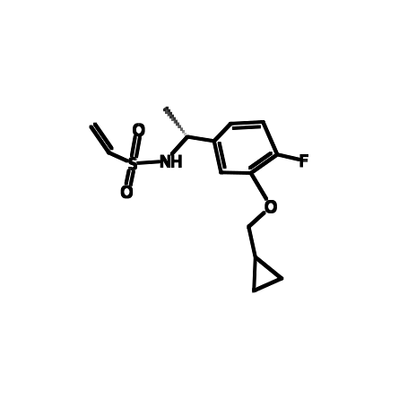 C=CS(=O)(=O)N[C@H](C)c1ccc(F)c(OCC2CC2)c1